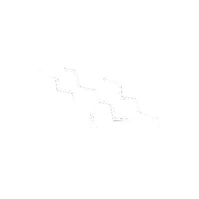 COc1ccc2c(C=O)c(-c3ccc(F)cc3F)ccc2c1